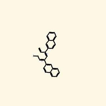 C=C/C(=C\C(=C/CI)c1ccc2ccccc2c1)c1ccc2ccccc2c1